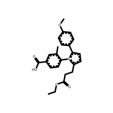 CCOC(=O)CCc1ccc(-c2ccc(OC)cc2)n1-c1ccc(C(=O)O)cc1C